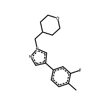 Cc1ccc(-c2cnn(CC3CCOCC3)c2)cc1F